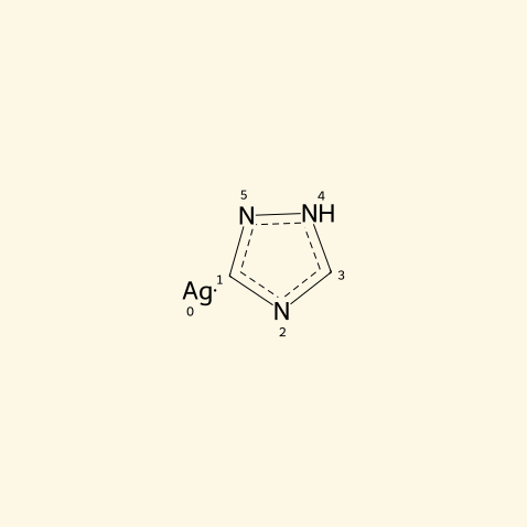 [Ag].c1nc[nH]n1